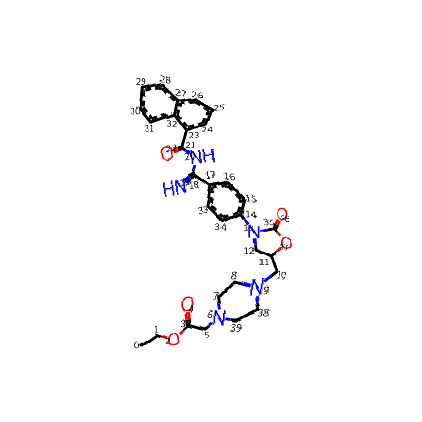 CCOC(=O)CN1CCN(CC2CN(c3ccc(C(=N)NC(=O)c4cccc5ccccc45)cc3)C(=O)O2)CC1